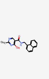 O=Cc1ncc(C(=O)NCc2cccc3ccccc23)c(O)n1